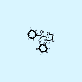 O=S(=O)(c1ccccc1)N1OCC[C@H]1c1ccccc1